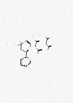 CC(=O)CC(C)=O.CC(=O)CC(C)=O.COC1(OC)C=CN=C(c2ccccn2)C1.[Ni]